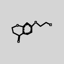 O=C1CCOc2cc(OCCCl)ccc21